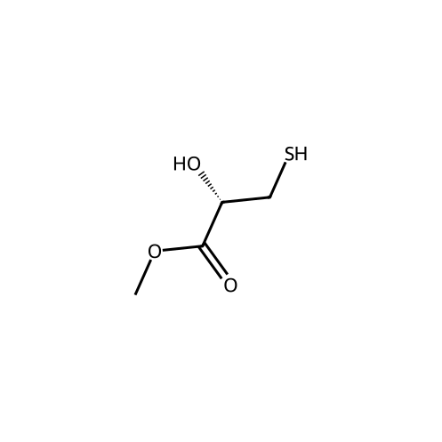 COC(=O)[C@H](O)CS